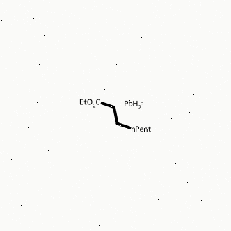 CCCCCCCC(=O)OCC.[PbH2]